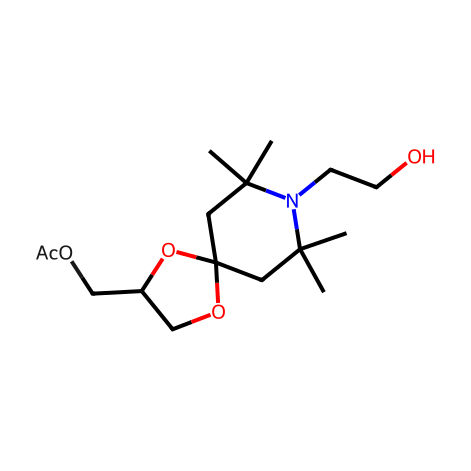 CC(=O)OCC1COC2(CC(C)(C)N(CCO)C(C)(C)C2)O1